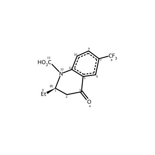 CC[C@@H]1CC(=O)c2cc(C(F)(F)F)ccc2N1C(=O)O